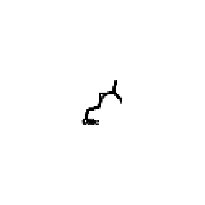 COCCOC(C)I